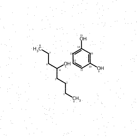 CCCCC(O)CCC.Oc1cccc(O)c1